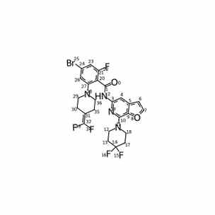 O=C(Nc1cc2ccoc2c(N2CCC(F)(F)CC2)n1)c1c(F)cc(Br)cc1N1CCC(=C(F)F)CC1